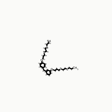 CCCSCCSCCCOc1cccc(Cc2ccc(OCCCSCCSCCS)cc2)c1